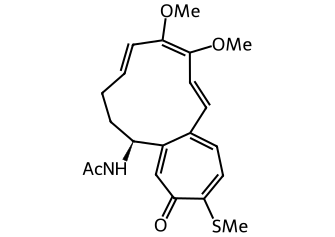 COC1=C(OC)/C=C/c2ccc(SC)c(=O)cc2[C@@H](NC(C)=O)CC\C=C\1